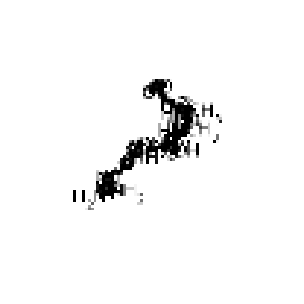 CC(C)[C@H](NC(=O)CCCCCN1C(=O)C=CC1=O)C(=O)N[C@@H](C)C(=O)Nc1ccc(C(=O)NCCC[C@H](NC(=O)c2ccc(CCc3cnc4nc(N)nc(N)c4n3)cc2)C(=O)O)c(C(=O)O)c1